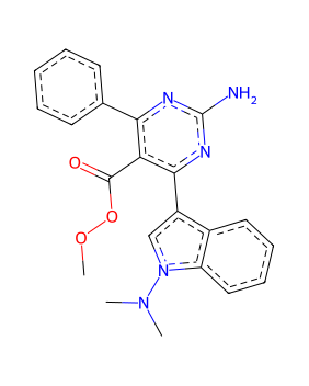 COOC(=O)c1c(-c2ccccc2)nc(N)nc1-c1cn(N(C)C)c2ccccc12